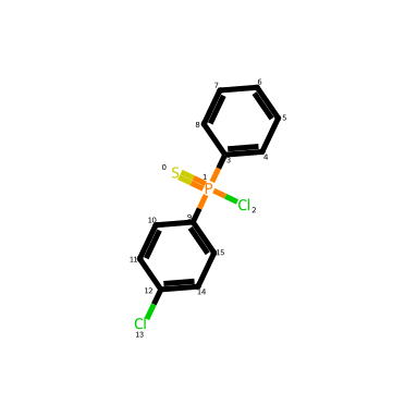 S=P(Cl)(c1ccccc1)c1ccc(Cl)cc1